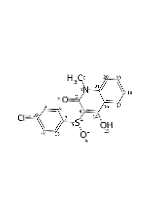 Cn1c(=O)c([S+]([O-])c2ccc(Cl)cc2)c(O)c2ccccc21